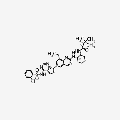 CCc1cc(-c2ccc3c(NS(=O)(=O)c4ccccc4Cl)ncnn23)cc2cnc(N[C@H]3CCCC[C@@H]3NC(=O)OC(C)(C)C)nc12